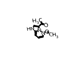 CON1C=CC=C2NC=C(C(C)=O)N21